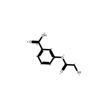 O=C(CS)Oc1cccc(C(=O)O)c1